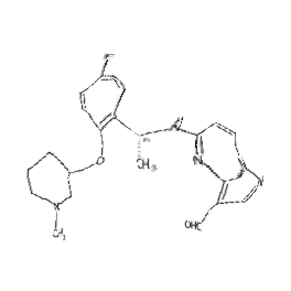 C[C@@H](Nc1ccn2ncc(C=O)c2n1)c1cc(F)ccc1OC1CCCN(C)C1